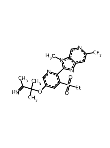 CCS(=O)(=O)c1cc(OC(C)(C)C(C)=N)cnc1-c1nc2cc(C(F)(F)F)ncc2n1C